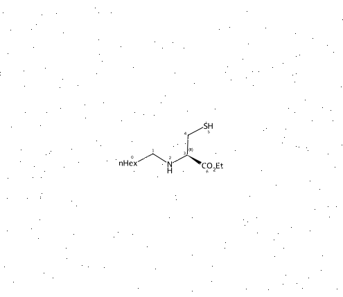 CCCCCCCN[C@@H](CS)C(=O)OCC